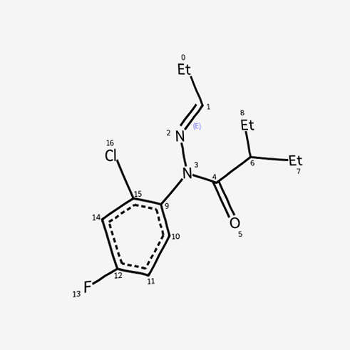 CC/C=N/N(C(=O)C(CC)CC)c1ccc(F)cc1Cl